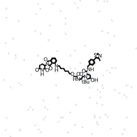 Cc1ncsc1-c1ccc(CNC(=O)[C@@H]2C[C@@H](O)CN2C(=O)[C@@H](NC(=O)COCCCCCCNc2cccc3c2C(=O)N(C2CCC(=O)NC2=O)C3=O)C(C)(C)C)cc1